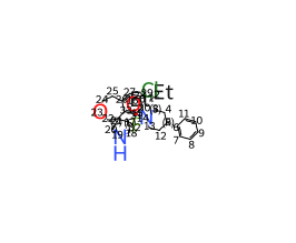 CCC(CC)[C@@H]1C[C@H](c2ccccc2)CCN1C(=O)[C@@H]1CNC[C@]12COCCc1cc(Cl)cc(F)c12